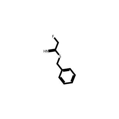 N=C(CF)SCc1ccccc1